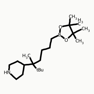 CC(C)(C)C(C)(CCCCB1OC(C)(C)C(C)(C)O1)C1CCNCC1